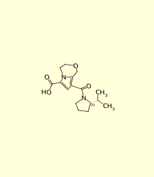 CC(C)[C@@H]1CCCN1C(=O)c1cc(C(=O)O)n2c1COCC2